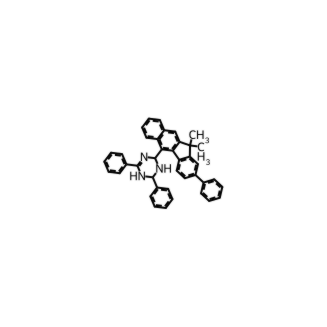 CC1(C)c2cc(-c3ccccc3)ccc2-c2c1cc1ccccc1c2C1N=C(c2ccccc2)NC(c2ccccc2)N1